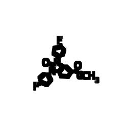 COC(=O)c1ccc2c(c1)n(-c1ccc(F)cc1)c(=O)n2-c1ccc(F)cc1